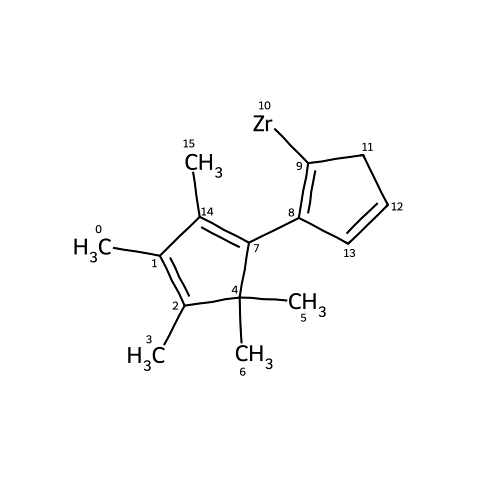 CC1=C(C)C(C)(C)C(C2=[C]([Zr])CC=C2)=C1C